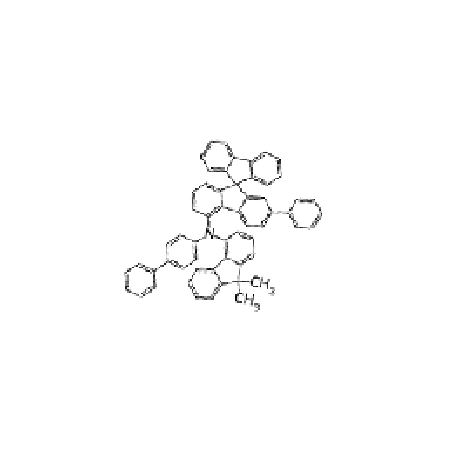 CC1(C)c2ccccc2-c2c(N(c3ccc(-c4ccccc4)cc3)c3cccc4c3-c3ccc(-c5ccccc5)cc3C43c4ccccc4-c4ccccc43)cccc21